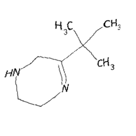 CC(C)(C)C1=NCCNC1